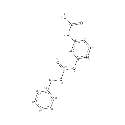 O=C(O)Oc1ccnc(OC(=O)OCc2ccccc2)c1